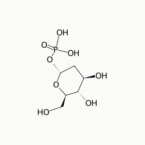 O=P(O)(O)O[C@@H]1C[C@@H](O)[C@H](O)[C@@H](CO)O1